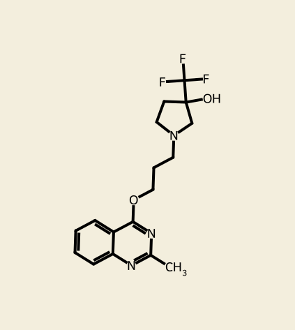 Cc1nc(OCCCN2CCC(O)(C(F)(F)F)C2)c2ccccc2n1